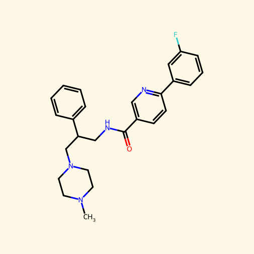 CN1CCN(CC(CNC(=O)c2ccc(-c3cccc(F)c3)nc2)c2ccccc2)CC1